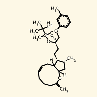 C=C1CCC/C=C\C[C@@H]2[C@@H](CC[C@H](COc3cccc(C)c3)O[Si](C)(C)C(C)(C)C)[C@H](C)C[C@@H]2O1